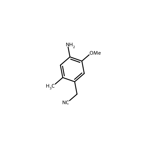 COc1cc(CC#N)c(C)cc1N